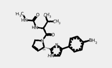 Bc1ccc(-c2c[nH]c([C@@H]3C=CCN3C(=O)C(NC(=O)NC)C(C)C)n2)cc1